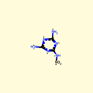 Nc1nc(N)nc(N[N+](=O)[O-])n1